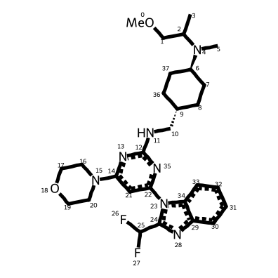 COCC(C)N(C)[C@H]1CC[C@H](CNc2nc(N3CCOCC3)cc(-n3c(C(F)F)nc4ccccc43)n2)CC1